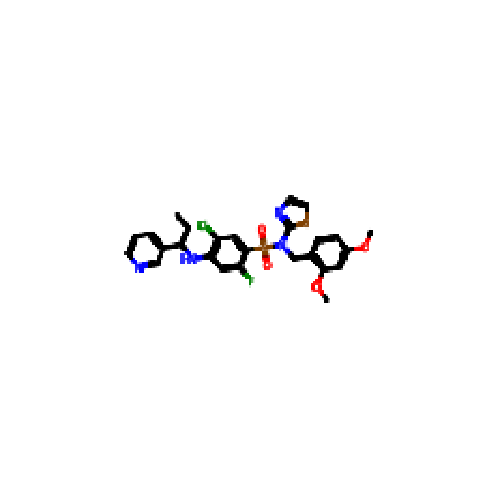 CCC(Nc1cc(F)c(S(=O)(=O)N(Cc2ccc(OC)cc2OC)c2nccs2)cc1Cl)c1cccnc1